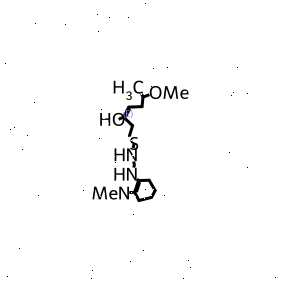 CNC1=C(NCNSCC/C(O)=C\CC(C)OC)CCCC1